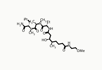 CC[C@H](NC(=O)C[C@H](O)[C@H](C)CCCC(=O)NCCOC)C(=O)N(C)[C@H](C)C(=O)N(C)[C@@H](CC(C)C)C(N)=O